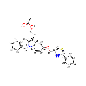 CC(=O)OCCc1c(C)n(Cc2ccccc2)c2ccc(OCc3csc(-c4ccccc4)n3)cc12